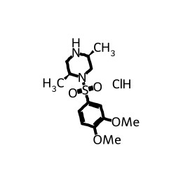 COc1ccc(S(=O)(=O)N2C[C@H](C)NC[C@@H]2C)cc1OC.Cl